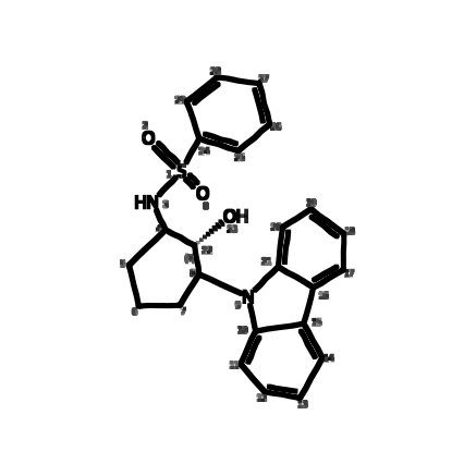 O=S(=O)(NC1CCCC(n2c3ccccc3c3ccccc32)[C@H]1O)c1ccccc1